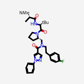 CN[C@@H](C)C(=O)N[C@H](C(=O)N1CCC[C@H]1CN(CCc1ccc(F)cc1)C(=O)c1cnn(-c2ccccc2)c1)C(C)(C)C